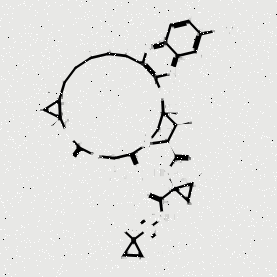 CC[C@@H]1[C@@H]2CN(C(=O)[C@H](C(C)(C)C)NC(=O)O[C@@H]3C[C@H]3CCCCCc3nc4ccc(OC)cc4nc3O2)[C@@H]1C(=O)N[C@]1(C(=O)NS(=O)(=O)C2(C)CC2)C[C@H]1CC